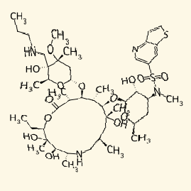 CCCNC[C@]1(O)[C@H](C)O[C@@H](O[C@H]2[C@H](C)[C@@H](O[C@@H]3O[C@H](C)C[C@H](N(C)S(=O)(=O)c4cnc5ccsc5c4)[C@H]3O)[C@](C)(O)C[C@@H](C)CN[C@H](C)[C@@H](O)[C@](C)(O)[C@@H](CC)OC(=O)[C@@H]2C)C[C@@]1(C)OC